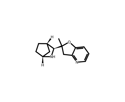 CC1([C@H]2N[C@@H]3CC[C@H]2C3)Cc2ncccc2O1